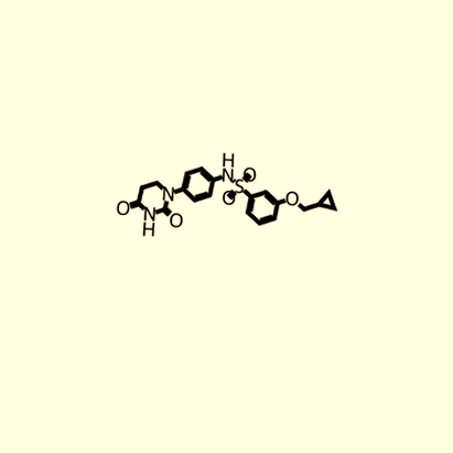 O=C1CCN(c2ccc(NS(=O)(=O)c3cccc(OCC4CC4)c3)cc2)C(=O)N1